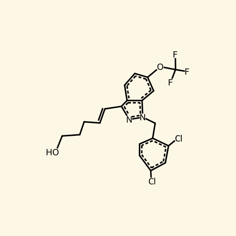 OCCC/C=C/c1nn(Cc2ccc(Cl)cc2Cl)c2cc(OC(F)(F)F)ccc12